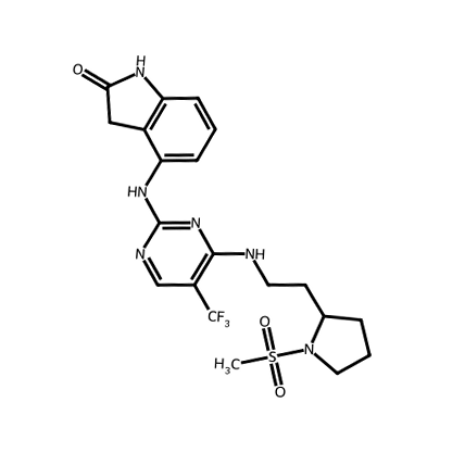 CS(=O)(=O)N1CCCC1CCNc1nc(Nc2cccc3c2CC(=O)N3)ncc1C(F)(F)F